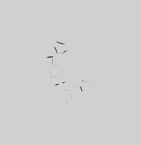 O=CN1CCN(S(=O)(=O)N2CCC(C(=O)c3ccc(Cl)cc3)CC2)[C@H](OC(=O)NO)C1